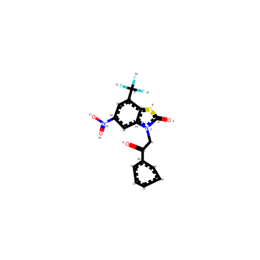 O=C(Cn1c(=O)sc2c(C(F)(F)F)cc([N+](=O)[O-])cc21)c1ccccc1